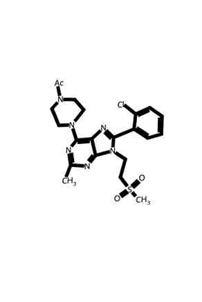 CC(=O)N1CCN(c2nc(C)nc3c2nc(-c2ccccc2Cl)n3CCS(C)(=O)=O)CC1